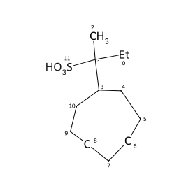 CCC(C)(C1CCCCCCC1)S(=O)(=O)O